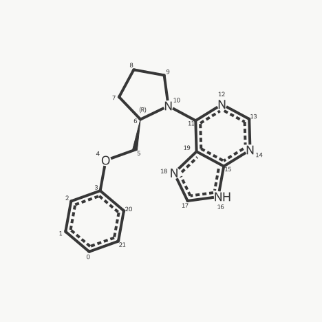 c1ccc(OC[C@H]2CCCN2c2ncnc3[nH]cnc23)cc1